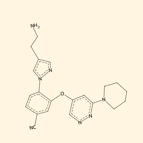 N#Cc1ccc(-n2cc(CCN)cn2)c(Oc2cnnc(N3CCCCC3)c2)c1